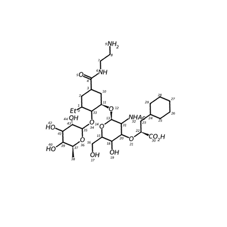 CCC1CC(C(=O)NCCN)C[C@@H](O[C@@H]2OC(CO)C(O)C(O[C@@H](CC3CCCCC3)C(=O)O)C2NC(C)=O)C1OC1O[C@@H](C)C(O)C(O)[C@@H]1O